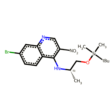 C[C@@H](CO[Si](C)(C)C(C)(C)C)Nc1c([N+](=O)[O-])cnc2cc(Br)ccc12